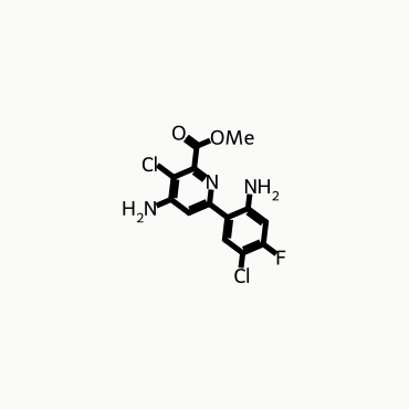 COC(=O)c1nc(-c2cc(Cl)c(F)cc2N)cc(N)c1Cl